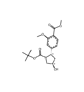 COC(=O)c1ccc([C@@H]2C[C@@H](O)CN2C(=O)OC(C)(C)C)cc1OC